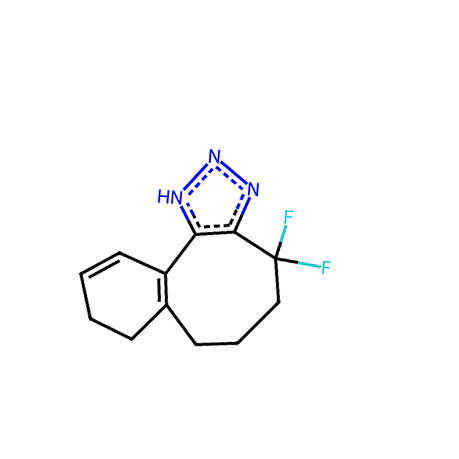 FC1(F)CCCC2=C(C=CCC2)c2[nH]nnc21